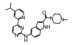 CC(C)c1ccnc(-c2ccnc(Nc3ccc4[nH]c(C(=O)N5CCN(C)CC5)cc4c3)n2)c1